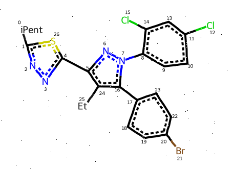 CCCC(C)c1nnc(-c2nn(-c3ccc(Cl)cc3Cl)c(-c3ccc(Br)cc3)c2CC)s1